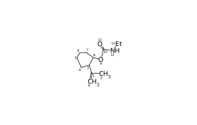 C=C(C)C1CCCCC1OC(=O)NCC